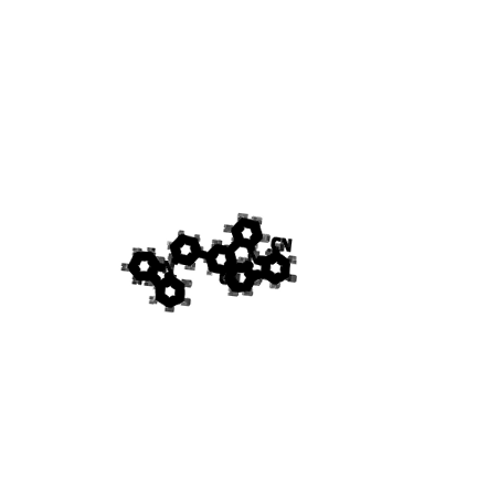 N#Cc1cc(-c2cccc(-n3c4ccccc4c4ccccc43)c2)cc(-c2ccccc2-n2c3ccccc3c3cccc(C#N)c32)c1